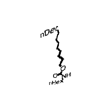 CCCCCCCCCCCCCCCCCCOC(=O)NCCCCCC